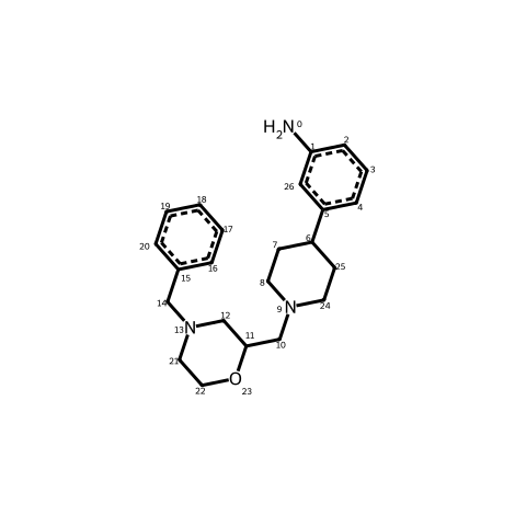 Nc1cccc(C2CCN(CC3CN(Cc4ccccc4)CCO3)CC2)c1